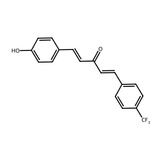 O=C(C=Cc1ccc(O)cc1)C=Cc1ccc(C(F)(F)F)cc1